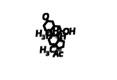 CC(=O)[C@H]1CC[C@H]2[C@@H]3C(O)CC4CC(=O)CC[C@]4(C)[C@H]3CC[C@]12C